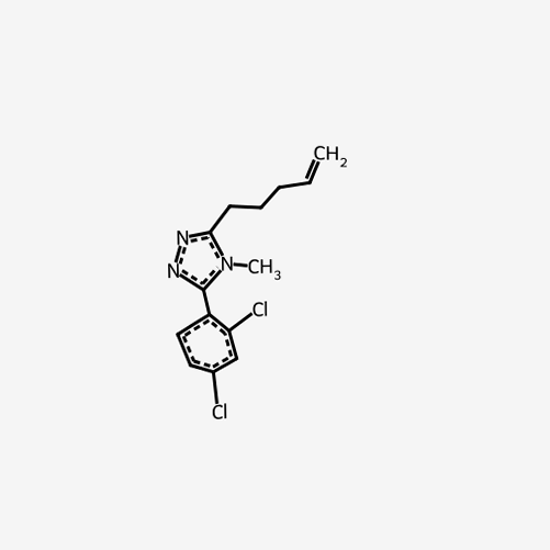 C=CCCCc1nnc(-c2ccc(Cl)cc2Cl)n1C